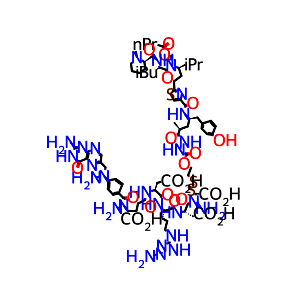 CCCC(=O)OCN(C(=O)[C@@H](NC(=O)[C@H]1CCCCN1C)C(C)CC)[C@H](CCc1nc(C(=O)N[C@@H](Cc2ccc(O)cc2)C[C@H](C)C(=O)NNC(=O)OCCSS[C@@H](C(=O)O)N(N)C(=O)[C@H](CC(=O)O)NC(=O)[C@H](CCCNC(=N)N=NN)NC(=O)[C@H](CC(=O)O)NC(=O)CC[C@@H](C(=O)O)N(N)C(=O)c2ccc(N(N)Cc3cnc4nc(N)[nH]c(=O)c4n3)cc2)cs1)C(C)C